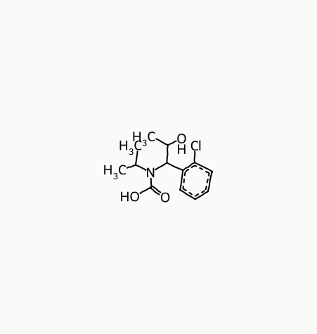 CC(O)C(c1ccccc1Cl)N(C(=O)O)C(C)C